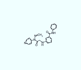 C=NN(C(=O)CNc1cccc(C(=O)Nc2ccccc2)c1)c1ccncc1